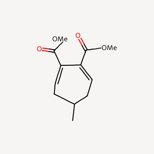 COC(=O)C1=CCC(C)CC=C1C(=O)OC